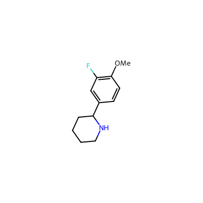 COc1ccc(C2CCCCN2)cc1F